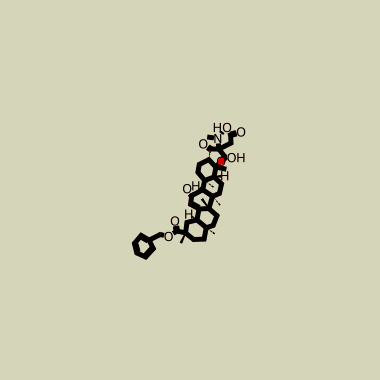 CN(C)C(CC(=O)O)(C(=O)O)C(=O)[C@H]1CC[C@]2(C)[C@H]3C(=O)C=C4[C@@H]5C[C@@](C)(C(=O)OCc6ccccc6)CC[C@]5(C)CC[C@@]4(C)[C@]3(C)CC[C@H]2C1(C)C